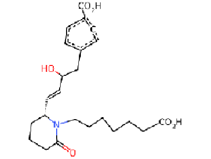 O=C(O)CCCCCCN1C(=O)CCC[C@@H]1/C=C/C(O)Cc1ccc(C(=O)O)cc1